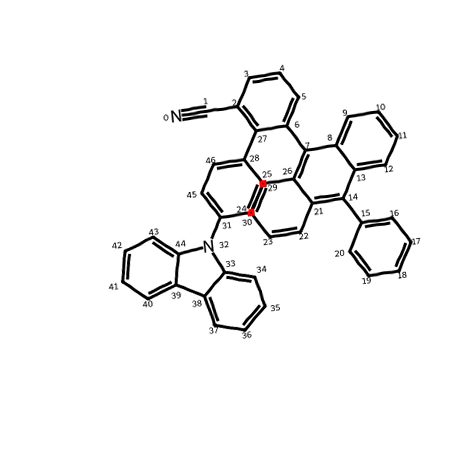 N#Cc1cccc(-c2c3ccccc3c(-c3ccccc3)c3ccccc23)c1-c1ccc(-n2c3ccccc3c3ccccc32)cc1